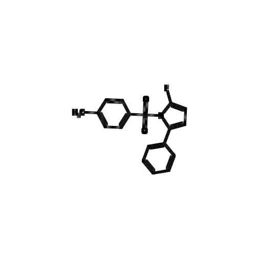 Cc1ccc(S(=O)(=O)n2c(F)ccc2-c2ccccc2)cc1